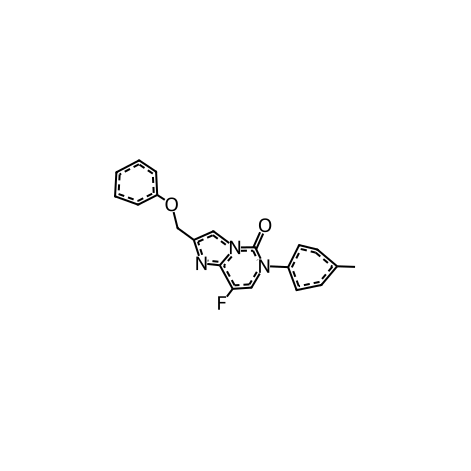 Cc1ccc(-n2cc(F)c3nc(COc4ccccc4)cn3c2=O)cc1